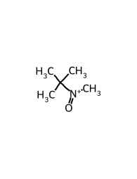 C[N+](=O)C(C)(C)C